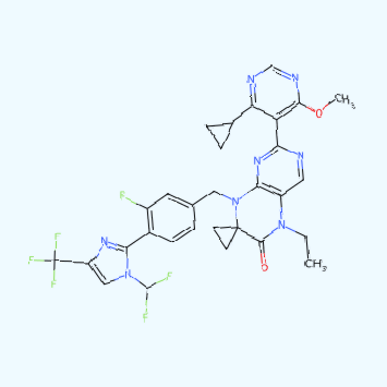 CCN1C(=O)C2(CC2)N(Cc2ccc(-c3nc(C(F)(F)F)cn3C(F)F)c(F)c2)c2nc(-c3c(OC)ncnc3C3CC3)ncc21